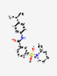 CC(C)c1ccc(NC(=O)c2cccc(S(=O)(=O)N3CCCCC3C)c2)cc1